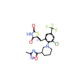 Cc1noc(C2CCCN(c3c(Cl)cc(C(F)(F)F)cc3/C=C3\SC(=O)NC3=O)C2)n1